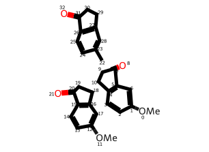 COc1ccc2c(c1)C(=O)CC2.COc1ccc2c(c1)CCC2=O.Cc1ccc2c(c1)CCC2=O